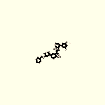 Cc1cc(F)cc(-c2ccnc3[nH]c(-c4n[nH]c5ccc(-c6cncc(OCc7ccccc7)c6)cc45)nc23)c1